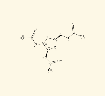 CC(=O)OC[C@@H]1C[C@@H](OC(C)=O)[C@H](OC(C)=O)O1